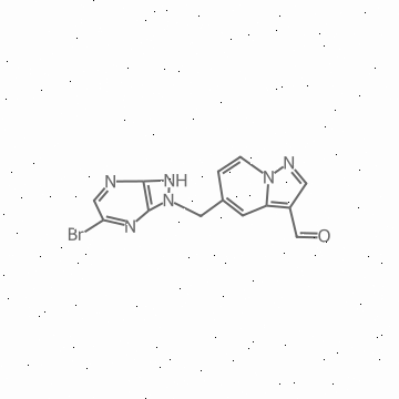 O=Cc1cnn2ccc(Cn3[nH]c4ncc(Br)nc43)cc12